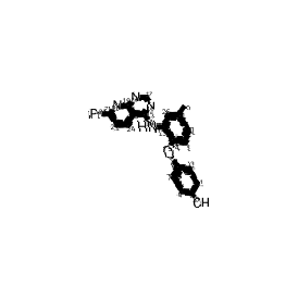 Cc1ccc(Oc2ccc(O)cc2)c(Nc2ncnc3nc(C(C)C)ccc23)c1